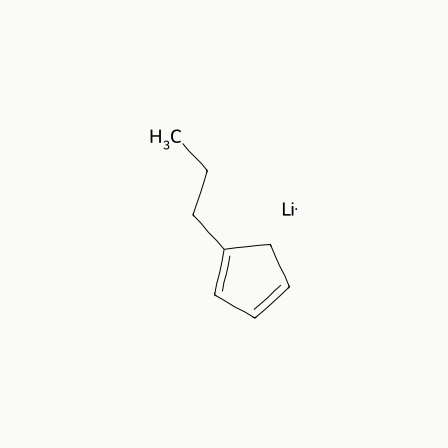 CCCC1=CC=CC1.[Li]